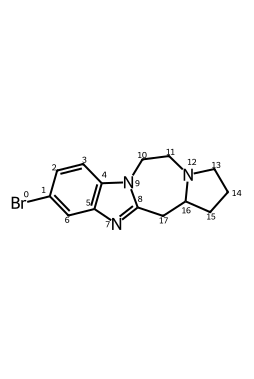 Brc1ccc2c(c1)nc1n2CCN2CCCC2C1